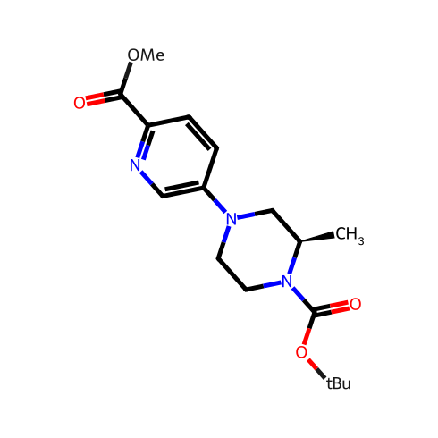 COC(=O)c1ccc(N2CCN(C(=O)OC(C)(C)C)[C@H](C)C2)cn1